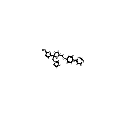 Brc1ccc(C2(Cn3cncn3)OCC(COc3ccc(-c4ccncn4)cc3)O2)s1